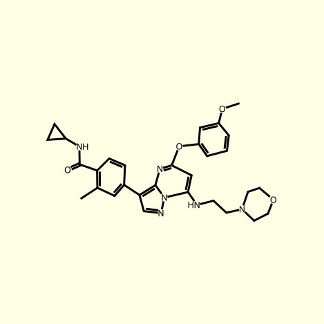 COc1cccc(Oc2cc(NCCN3CCOCC3)n3ncc(-c4ccc(C(=O)NC5CC5)c(C)c4)c3n2)c1